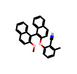 COc1ccc2ccccc2c1-c1c(Oc2cccc(C)c2C#N)ccc2ccccc12